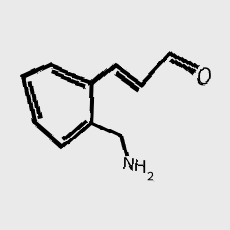 NCc1ccccc1C=CC=O